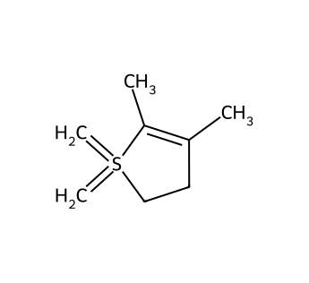 C=S1(=C)CCC(C)=C1C